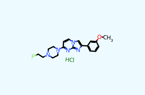 COc1cccc(-c2cn3ccc(N4CCN(CCF)CC4)nc3n2)c1.Cl